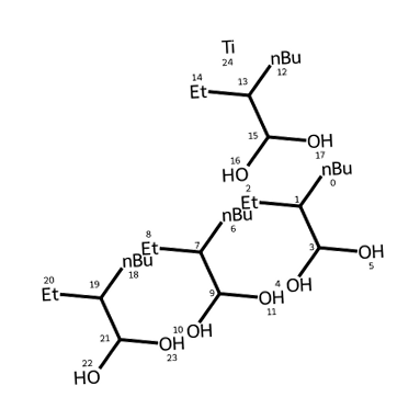 CCCCC(CC)C(O)O.CCCCC(CC)C(O)O.CCCCC(CC)C(O)O.CCCCC(CC)C(O)O.[Ti]